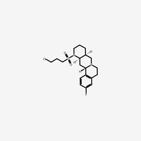 O=S(=O)(CCCCl)N1CCC[C@H]2CN3CCc4cc(F)ccc4[C@@H]3C[C@H]21